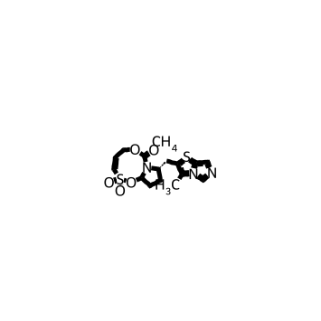 C.Cc1c(C[C@@H]2CCC3OS(=O)(=O)C=CCOC(=O)N32)sc2cncn12